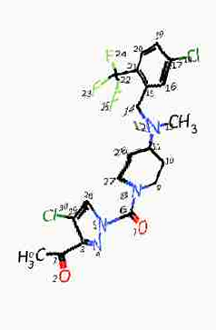 CC(=O)c1nn(C(=O)N2CCC(N(C)Cc3cc(Cl)ccc3C(F)(F)F)CC2)cc1Cl